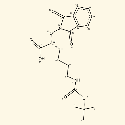 CC(C)(C)OC(=O)NCCCC[C@@H](ON1C(=O)c2ccccc2C1=O)C(=O)O